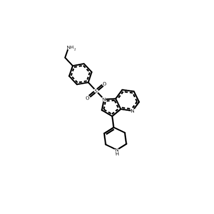 NCc1ccc(S(=O)(=O)n2cc(C3=CCNCC3)c3ncccc32)cc1